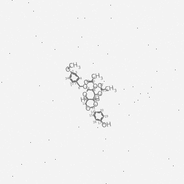 COc1ccc(CO[C@@H]2O[C@@H]3CO[C@@H](c4ccc(O)cc4)O[C@H]3[C@H](OC(C)=O)[C@H]2OC(C)=O)cc1